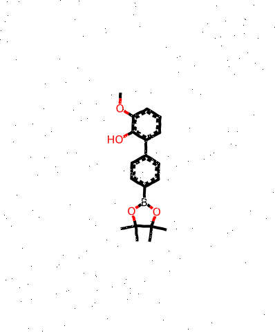 COc1cccc(-c2ccc(B3OC(C)(C)C(C)(C)O3)cc2)c1O